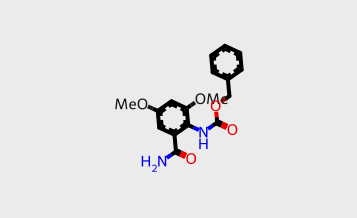 COc1cc(OC)c(NC(=O)OCc2ccccc2)c(C(N)=O)c1